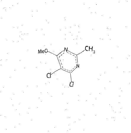 COc1nc(C)nc(Cl)c1Cl